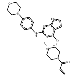 C=CC(=O)N1CC[C@H](F)[C@H](Oc2nc(Nc3ccc(N4CCOCC4)cc3)nc3[nH]ccc23)C1